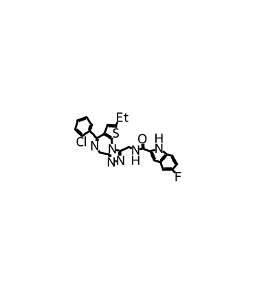 CCc1cc2c(s1)-n1c(nnc1CNC(=O)c1cc3cc(F)ccc3[nH]1)CN=C2c1ccccc1Cl